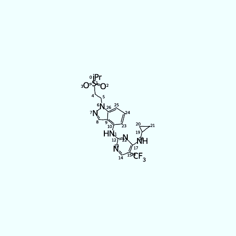 CC(C)S(=O)(=O)CCn1ncc2c(Nc3ncc(C(F)(F)F)c(NC4CC4)n3)cccc21